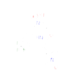 O=C(NC1CCN(C(=O)O)CC1c1ccc(C(F)(F)F)cc1)c1ccc(N2CCOCC2)cc1